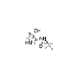 CC(C)(C)OC(=O)N[C@H]1CNCC[C@@H]1O